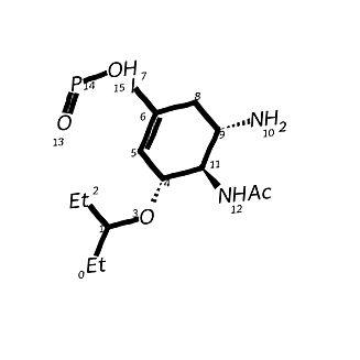 CCC(CC)O[C@@H]1C=C(I)C[C@H](N)[C@H]1NC(C)=O.O=PO